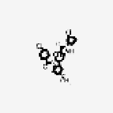 COc1ccc2c(c1)c(Cc1cc(=O)n(-c3cccc(Cl)c3)[nH]1)c(C)n2C(=O)c1ccc(Cl)cc1